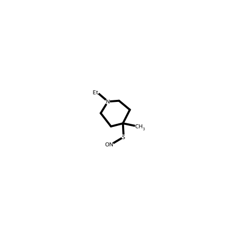 [CH2]CN1CCC(C)(SN=O)CC1